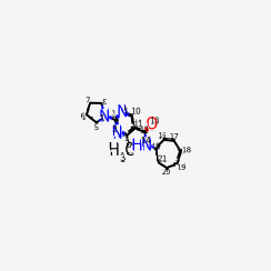 Cc1nc(N2CCCC2)ncc1C(=O)NC1CCCCCC1